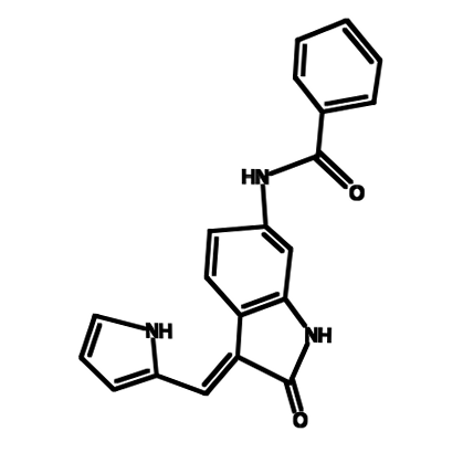 O=C1Nc2cc(NC(=O)c3ccccc3)ccc2/C1=C\c1ccc[nH]1